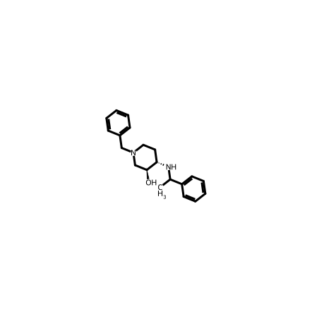 CC(N[C@H]1CCN(Cc2ccccc2)C[C@@H]1O)c1ccccc1